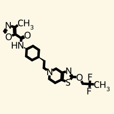 Cc1ncoc1C(=O)N[C@H]1CC[C@H](CCN2CCc3sc(OCC(C)(F)F)nc3C2)CC1